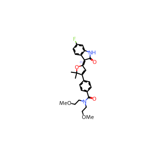 COCCN(CCOC)C(=O)c1ccc(C2=C/C(=C3\C(=O)Nc4cc(F)ccc43)OC2(C)C)cc1